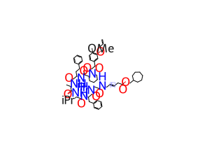 C=CCOc1cc(C(=O)C(=O)N2CCCCC2C(=O)NC(CCc2ccccc2)C(=O)NC(C)C(=O)NC(C(=O)NC(Cc2ccccc2)C(=O)N(C)CC(=O)NC/C=C/CC(=O)OCC2CCCCCC2)C(C)C)ccc1OC